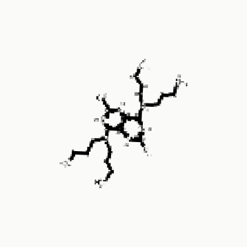 CCCCN(CCCC)c1nc(Cl)nc2c(N(CCCC)CCCC)nc(Cl)nc12